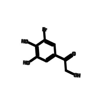 O=C(CO)c1cc(O)c(O)c(Br)c1